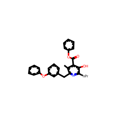 CCCc1nc(Cc2cccc(Oc3ccccc3)c2)c(C)c(C(=O)Oc2ccccc2)c1O